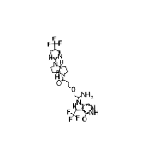 NC(COCCC(=O)N1CC[C@@H]2[C@H]1CCN2c1ncc(C(F)(F)F)cn1)n1nc(C(F)(F)F)c2c(=O)[nH]ncc21